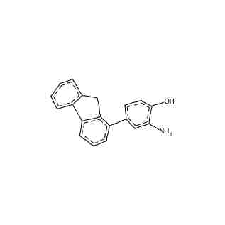 Nc1cc(-c2cccc3c2Cc2ccccc2-3)ccc1O